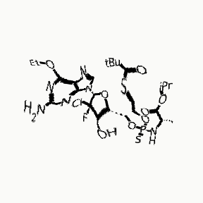 CCOc1nc(N)nc2c1ncn2[C@@H]1O[C@H](CO[P@](=S)(N[C@@H](C)C(=O)OC(C)C)OCCSC(=O)C(C)(C)C)[C@@H](O)[C@]1(F)Cl